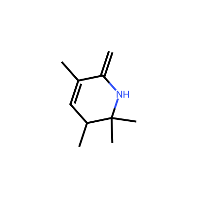 C=C1NC(C)(C)C(C)C=C1C